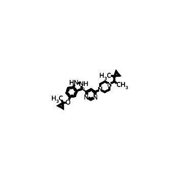 CC(N1CCN(c2cc([C@@H]3NNc4ccc(OC5(C)CC5)cc43)ncn2)CC1)C1(C)CC1